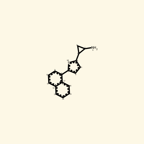 NC1CC1c1ccc(-c2cccc3ccccc23)s1